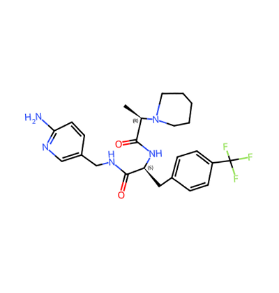 C[C@H](C(=O)N[C@@H](Cc1ccc(C(F)(F)F)cc1)C(=O)NCc1ccc(N)nc1)N1CCCCC1